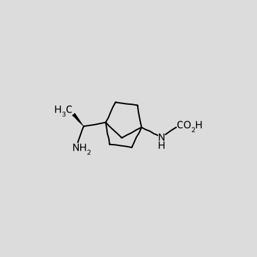 C[C@H](N)C12CCC(NC(=O)O)(CC1)C2